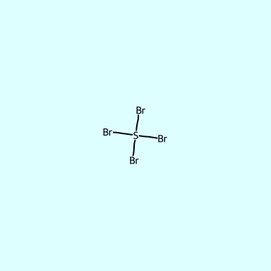 BrS(Br)(Br)Br